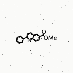 COC(=O)c1ccc2nc(-c3ccccc3)ccc2c1